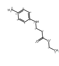 CCOC(=O)CCNc1ccc(N)cc1